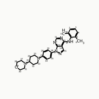 Cc1cccc(C)c1Nc1ncnc2c1cnn2-c1ccc(N2CCC(N3CCOCC3)CC2)cc1